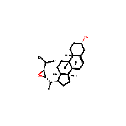 CCC(C(C)C)[C@@H]1O[C@H]1C(C)[C@H]1CC[C@H]2[C@@H]3CC=C4C[C@@H](O)CC[C@]4(C)[C@H]3CC[C@]12C